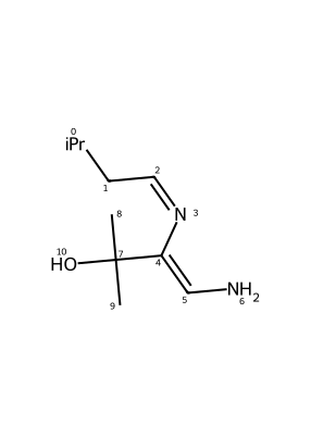 CC(C)C/C=N\C(=C/N)C(C)(C)O